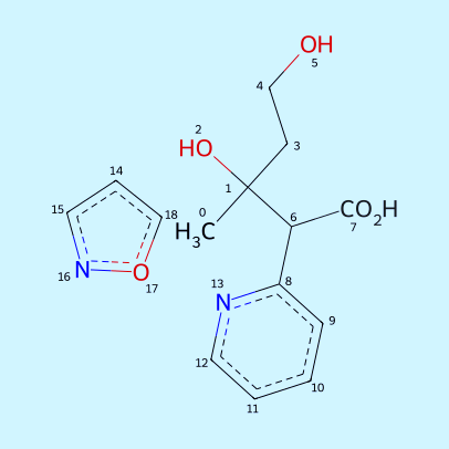 CC(O)(CCO)C(C(=O)O)c1ccccn1.c1cnoc1